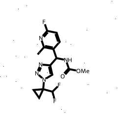 COC(=O)NC(c1cn(C2(C(F)F)CC2)nn1)c1ccc(F)nc1C